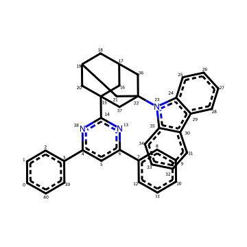 c1ccc(-c2cc(-c3ccccc3)nc(C34CC5CC(C3)CC(n3c6ccccc6c6ccccc63)(C5)C4)n2)cc1